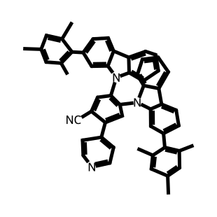 Cc1cc(C)c(-c2ccc3c4ccccc4n(-c4cc(C#N)c(-c5ccncc5)cc4-n4c5ccccc5c5ccc(-c6c(C)cc(C)cc6C)cc54)c3c2)c(C)c1